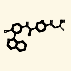 C[C@@H](O)CNc1ccc(C(=O)Nc2ccc(Cl)c(-c3nccc4ccccc34)c2)cn1